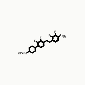 CCCCCC1CCC(c2ccc(CCc3ccc(OCC)c(F)c3F)c(F)c2F)CC1